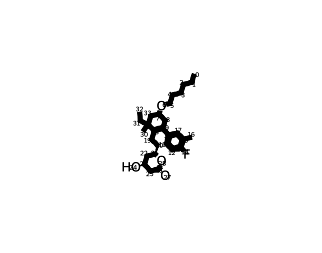 CCCCCCOC1CC(c2ccc(F)c(C)c2)=C(CC[C@@H]2C[C@@H](O)CC(=O)O2)C(C)(CC)C1